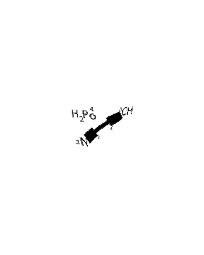 C#CC#N.[PoH2]